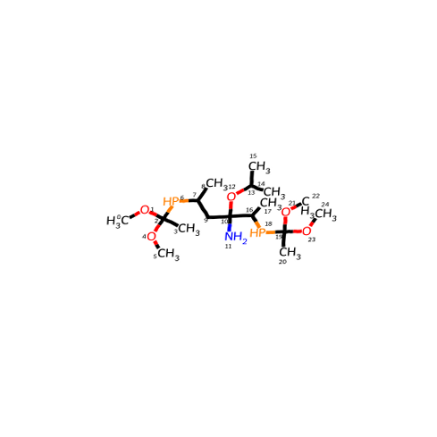 COC(C)(OC)PC(C)CC(N)(OC(C)C)C(C)PC(C)(OC)OC